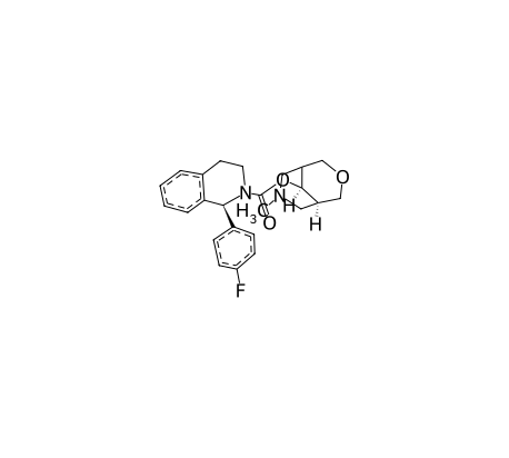 CN1CC2COC[C@@H](C1)[C@H]2OC(=O)N1CCc2ccccc2[C@@H]1c1ccc(F)cc1